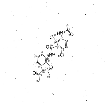 CC(=O)Nc1ccc(Cl)c(C(=O)Nc2cccc3c(C(C)=O)c(C)oc23)c1Cl